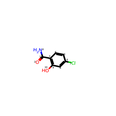 NC(=O)c1ccc(Cl)cc1O